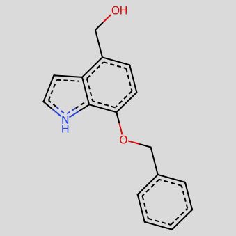 OCc1ccc(OCc2ccccc2)c2[nH]ccc12